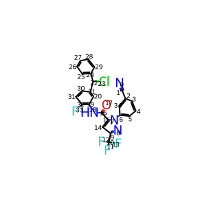 N#Cc1cccc(-n2nc(C(F)(F)F)cc2C(=O)Nc2cc(C(Cl)c3ccccc3)ccc2F)c1